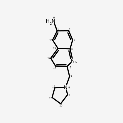 Nc1ccc2nc(CN3CCCC3)ccc2c1